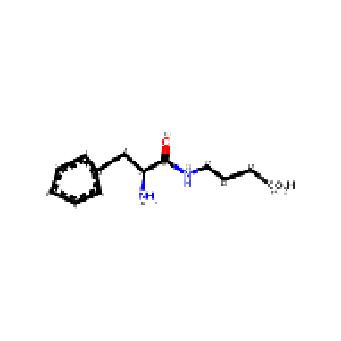 N[C@@H](Cc1ccccc1)C(=O)NCCCC(=O)O